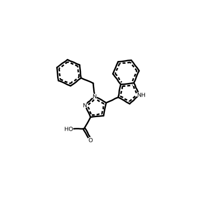 O=C(O)c1cc(-c2c[nH]c3ccccc23)n(Cc2ccccc2)n1